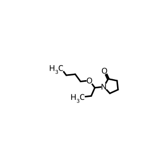 CCCCOC(CC)N1CCCC1=O